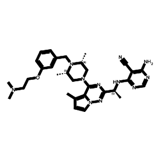 Cc1ccn2nc([C@H](C)Nc3ncnc(N)c3C#N)nc(N3C[C@@H](C)N(Cc4cccc(OCCN(C)C)c4)[C@@H](C)C3)c12